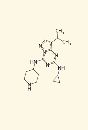 CC(C)c1cnn2c(NC3CCNCC3)nc(NC3CC3)nc12